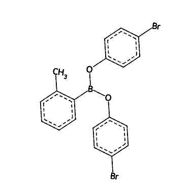 Cc1ccccc1B(Oc1ccc(Br)cc1)Oc1ccc(Br)cc1